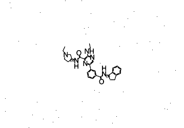 CCNc1ncc(-c2cccc(C(=O)N[C@H]3CCc4ccccc43)c2)nc1C(=O)N[C@H]1CCN(CC)C1